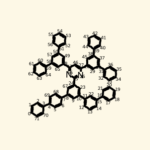 c1ccc(-c2ccc(-c3cc(-c4cccc(-c5ccccc5)c4)cc(-c4nc(-c5cc(-c6ccccc6)cc(-c6ccccc6)c5)cc(-c5cc(-c6ccccc6)cc(-c6ccccc6)c5)n4)c3)cc2)cc1